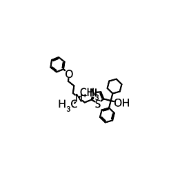 C[N+](C)(CCCOc1ccccc1)Cc1ncc(C(O)(c2ccccc2)C2CCCCC2)s1